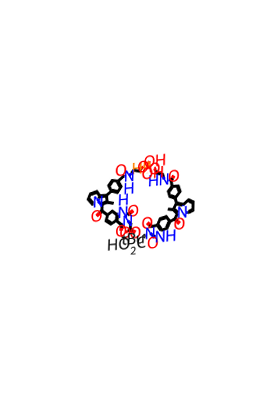 Cc1c(-c2ccc(C(=O)NCCO[PH](O)(O)OCCNC(=O)c3ccc(-c4c(C)c(C(=O)C5C=Cc6c([nH]c(=O)n(CC(=O)OC(C)(C)C)c6=O)C5)n5ccccc45)cc3)cc2)c2ccccn2c1C(=O)c1ccc2c(=O)n(CC(=O)O)c(=O)[nH]c2c1